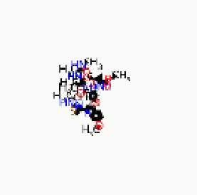 C=C[C@@H]1C[C@]1(NC(=O)[C@@H]1C[C@@H](Oc2cc(-c3csc(NC(C)C)n3)nc3cc(OC)ccc23)C[C@H]1C(=O)N[C@H](C(=O)N[C@@H](C)C(=O)NC)C(C)(C)C)C(=O)OCC